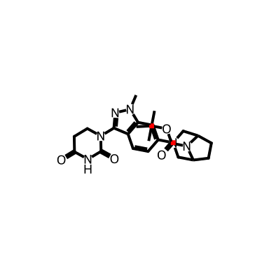 Cn1nc(N2CCC(=O)NC2=O)c2ccc(N3CC4CCC(C3)N4C(=O)OC(C)(C)C)cc21